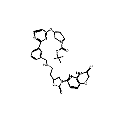 CC(C)(C)OC(=O)N1CCC(Oc2ccnc(-c3cccc(CNCCC4CN(c5ccc6c(n5)NC(=O)CO6)C(=O)O4)c3)n2)C1